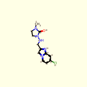 CN1CCN(NCc2cn3ccc(Cl)cc3n2)C1=O